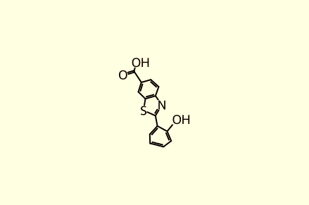 O=C(O)c1ccc2nc(-c3ccccc3O)sc2c1